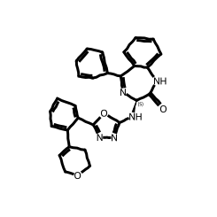 O=C1Nc2ccccc2C(c2ccccc2)=N[C@@H]1Nc1nnc(-c2ccccc2C2=CCOCC2)o1